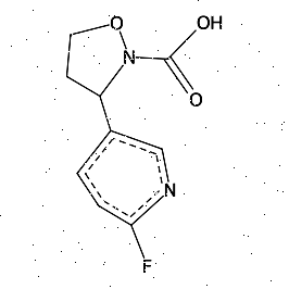 O=C(O)N1OCCC1c1ccc(F)nc1